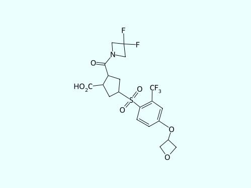 O=C(O)C1CC(S(=O)(=O)c2ccc(OC3COC3)cc2C(F)(F)F)CC1C(=O)N1CC(F)(F)C1